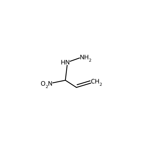 C=CC(NN)[N+](=O)[O-]